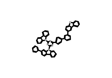 c1ccc(-c2ccc3c4ccccc4n(-c4nc(-c5ccc(-c6cccc(-c7ccc8oc9ccccc9c8c7)c6)cc5)nc(-n5c6ccccc6c6ccccc65)n4)c3c2)cc1